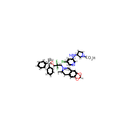 C[C@@H]1Cc2cc3c(cc2[C@@H](c2ncc(NC4CCN(C(=O)O)C4)cc2F)N1CC(F)(F)CO[Si](c1ccccc1)(c1ccccc1)C(C)(C)C)OCO3